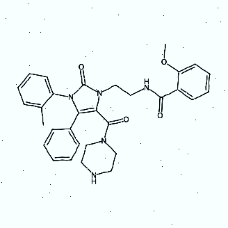 COc1ccccc1C(=O)NCCn1c(C(=O)N2CCNCC2)c(-c2ccccc2)n(-c2ccccc2C)c1=O